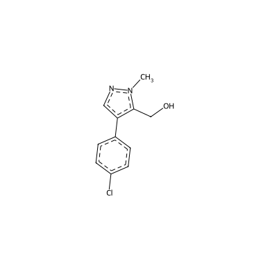 Cn1ncc(-c2ccc(Cl)cc2)c1CO